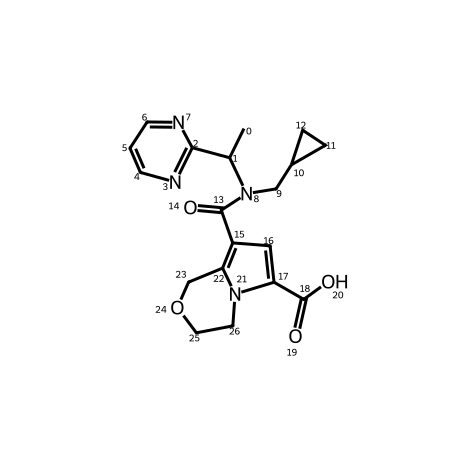 CC(c1ncccn1)N(CC1CC1)C(=O)c1cc(C(=O)O)n2c1COCC2